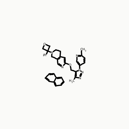 Cc1ccc(-n2nnc(C)c2COc2cc3c(cn2)CN(C2(C(C)C)COC2)CC3)cn1.c1ccc2ccccc2c1